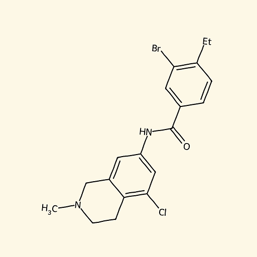 CCc1ccc(C(=O)Nc2cc(Cl)c3c(c2)CN(C)CC3)cc1Br